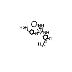 COc1ccc(Nc2nc(NC3CCCCCC3)nc(Oc3ccc(C=NO)cc3)n2)cc1Cl